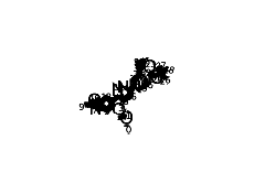 COCOc1cc2nc(C)oc2cc1-c1ccc(N2CCN(C(=O)OC(C)(C)C)C(C3CC3)C2)nn1